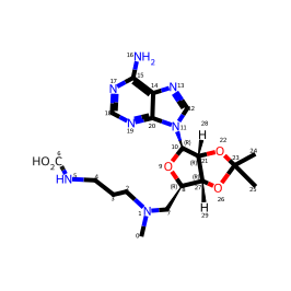 CN(CCCNC(=O)O)C[C@H]1O[C@@H](n2cnc3c(N)ncnc32)[C@@H]2OC(C)(C)O[C@@H]21